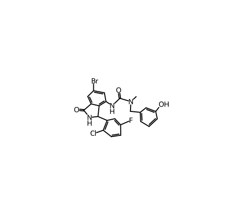 CN(Cc1cccc(O)c1)C(=O)Nc1cc(Br)cc2c1C(c1cc(F)ccc1Cl)NC2=O